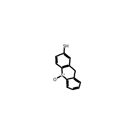 [O-][S+]1c2ccccc2Cc2cc(S)ccc21